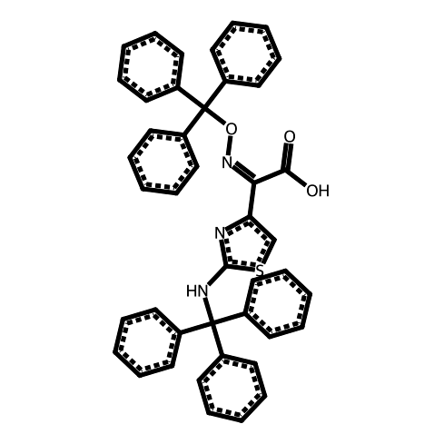 O=C(O)C(=NOC(c1ccccc1)(c1ccccc1)c1ccccc1)c1csc(NC(c2ccccc2)(c2ccccc2)c2ccccc2)n1